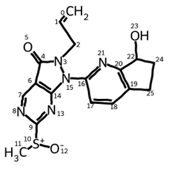 C=CCn1c(=O)c2cnc([S+](C)[O-])nc2n1-c1ccc2c(n1)C(O)CC2